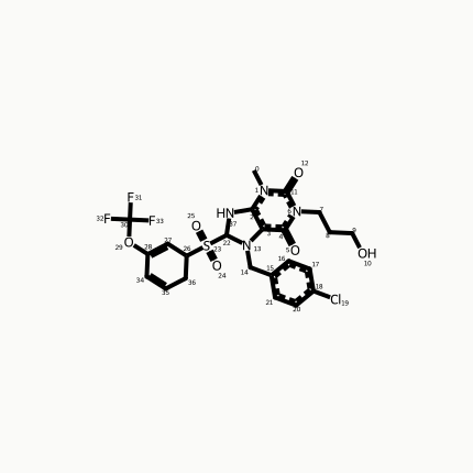 Cn1c2c(c(=O)n(CCCO)c1=O)N(Cc1ccc(Cl)cc1)C(S(=O)(=O)C1C=C(OC(F)(F)F)C=CC1)N2